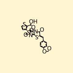 O=C1N/C(=N\S(=O)(=O)c2ccsc2C(=O)O)S/C1=C\c1ccc2c(c1)OCO2